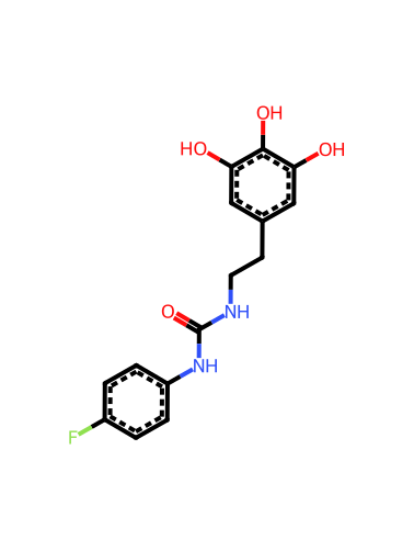 O=C(NCCc1cc(O)c(O)c(O)c1)Nc1ccc(F)cc1